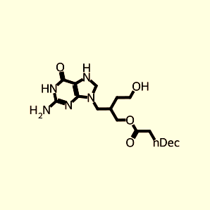 CCCCCCCCCCCC(=O)OCC(CCO)CN1CNc2c1nc(N)[nH]c2=O